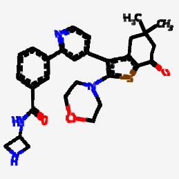 CC1(C)CC(=O)c2sc(N3CCOCC3)c(-c3ccnc(-c4cccc(C(=O)NC5CNC5)c4)c3)c2C1